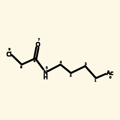 CC(=O)CCCCNC(=O)CCl